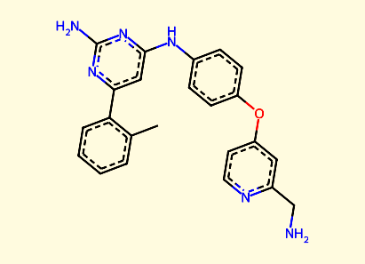 Cc1ccccc1-c1cc(Nc2ccc(Oc3ccnc(CN)c3)cc2)nc(N)n1